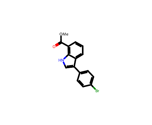 COC(=O)c1cccc2c(-c3ccc(Br)cc3)c[nH]c12